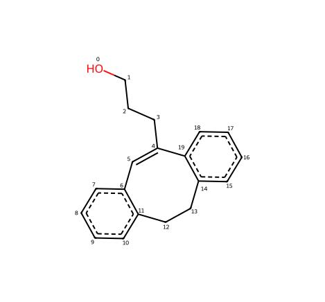 OCCCC1=Cc2ccccc2CCc2ccccc21